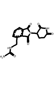 NC(=O)NCc1cccc2c1C(=O)N(C1CCC(=O)NC1=O)C2=O